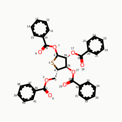 O=C(OC[C@@H]1SC(OC(=O)c2ccccc2)[C@H](OC(=O)c2ccccc2)[C@H]1OC(=O)c1ccccc1)c1ccccc1